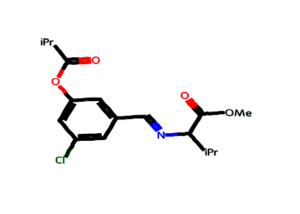 COC(=O)C(N=Cc1cc(Cl)cc(OC(=O)C(C)C)c1)C(C)C